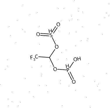 O=[PH](O)OC(O[SH](=O)=O)C(F)(F)F